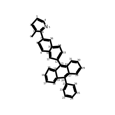 Cc1cccnc1-c1ccc2cc(-c3c4ccccc4c(-c4ccccc4)c4ccccc34)ccc2c1